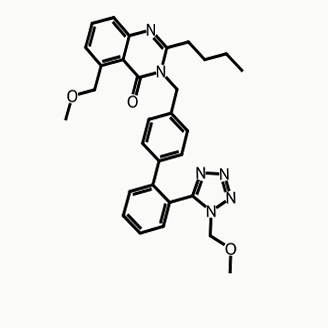 CCCCc1nc2cccc(COC)c2c(=O)n1Cc1ccc(-c2ccccc2-c2nnnn2COC)cc1